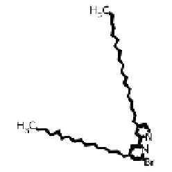 CCCCCCCCCCCCCCCCCCCc1ccnc(-c2cc(CCCCCCCCCCCCCCCC)cc(Br)n2)c1